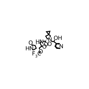 O=C1NCC[C@H]1C[C@H](NC(=O)[C@@H]1CC2(CC2)CN1C(=O)C(O)c1cccnc1)C(=O)COC(F)(F)F